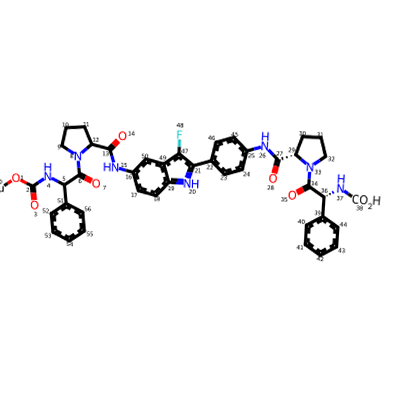 CC(C)(C)OC(=O)NC(C(=O)N1CCCC1C(=O)Nc1ccc2[nH]c(-c3ccc(NC(=O)[C@@H]4CCCN4C(=O)[C@H](NC(=O)O)c4ccccc4)cc3)c(F)c2c1)c1ccccc1